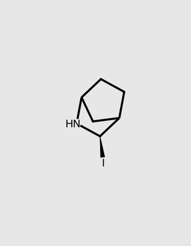 I[C@H]1NC2CCC1C2